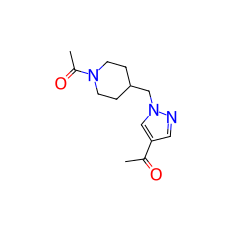 CC(=O)c1cnn(CC2CCN(C(C)=O)CC2)c1